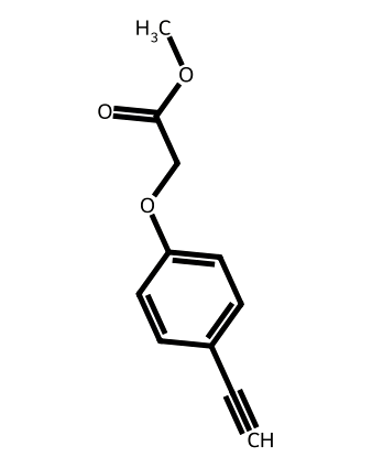 C#Cc1ccc(OCC(=O)OC)cc1